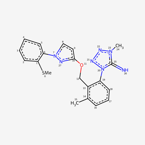 CSc1ccccc1-n1ccc(OCc2c(C)cccc2-n2nnn(C)c2=N)n1